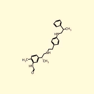 Cc1ccc([C@@H](C)CNCCc2ccc(NC[C@H](C)c3ccccc3)cc2)cc1NC=O